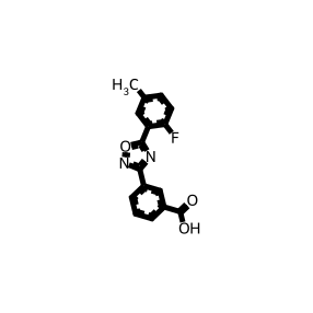 Cc1ccc(F)c(-c2nc(-c3cccc(C(=O)O)c3)no2)c1